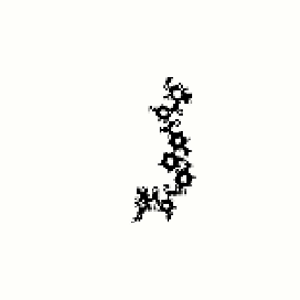 COC(=O)N[C@H](C(=O)N1C[C@@H](F)C[C@H]1C(=O)Nc1ccc(CN(Cc2ccc(NC(=O)[C@@H]3C[C@H](F)CN3C(=O)[C@@H](NC(=O)OC)C(C)(C)C)cc2)c2ccccc2)cc1)C(C)(C)C